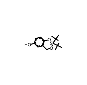 CC(C)(C)[Si]1(C(C)(C)C)OCc2cc(O)ccc2O1